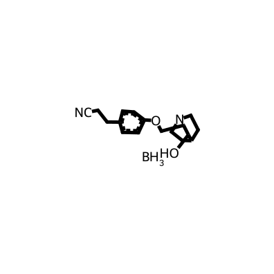 B.N#CCCc1ccc(OCC2C(O)C3CCN2CC3)cc1